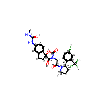 CNC(=O)Nc1ccc2c(c1)CCC21OC(=O)N(CC(=O)N2[C@@H](c3ccc(F)cc3C(F)(F)F)CC[C@@H]2C)C1=O